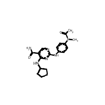 CC(=O)N(C)c1ccc(Nc2ncc(C(N)=O)c(NC3CCCC3)n2)cc1